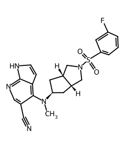 CN(c1c(C#N)cnc2[nH]ccc12)[C@H]1C[C@@H]2CN(S(=O)(=O)c3cccc(F)c3)C[C@@H]2C1